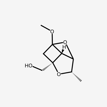 COC12C[C@]3(CO)O[C@@H](C)C(O1)[C@@H]23